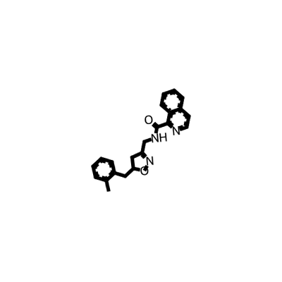 Cc1ccccc1CC1CC(CNC(=O)c2nccc3ccccc23)=NO1